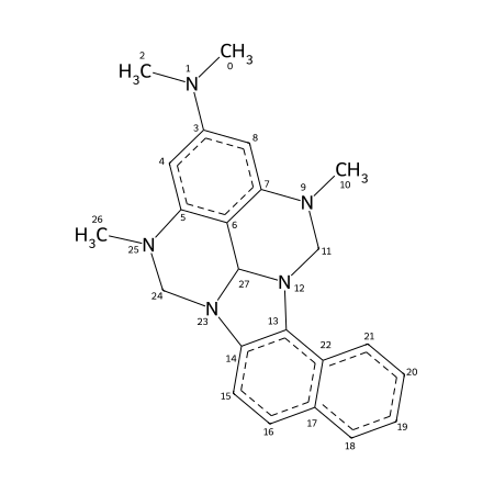 CN(C)c1cc2c3c(c1)N(C)CN1c4c(ccc5ccccc45)N(CN2C)C31